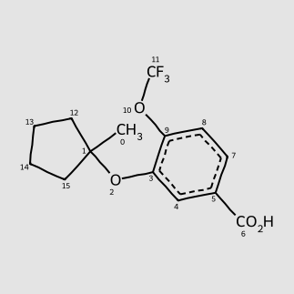 CC1(Oc2cc(C(=O)O)ccc2OC(F)(F)F)CCCC1